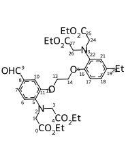 CCOC(=O)CN(CC(=O)OCC)c1ccc(C=O)cc1OCCOc1ccc(CC)cc1N(CC(=O)OCC)CC(=O)OCC